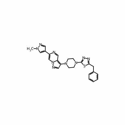 Cn1cc(-c2cn3ncc(N4CCN(c5nnc(Cc6ccccc6)s5)CC4)c3cn2)cn1